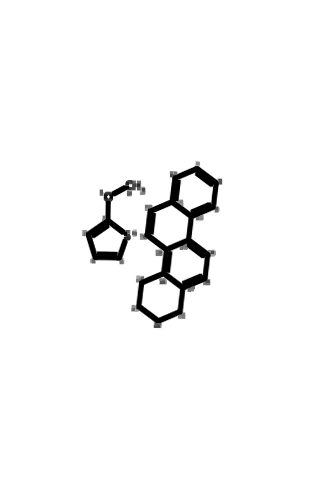 COc1cccs1.c1ccc2c(c1)ccc1c3c(ccc12)CCCC3